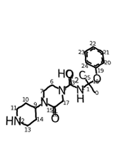 CC(NC(=O)N1CCN(C2CCNCC2)C(=O)C1)(Oc1ccccc1)C(=O)O